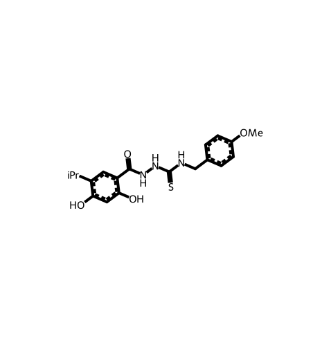 COc1ccc(CNC(=S)NNC(=O)c2cc(C(C)C)c(O)cc2O)cc1